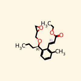 CCC[C@@H](OCC1CO1)c1cccc(C)c1/C=C/C(=O)OCC